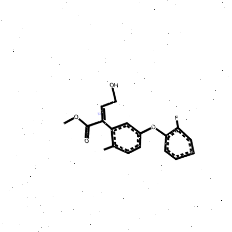 COC(=O)/C(=C/CO)c1cc(Oc2ccccc2F)ccc1C